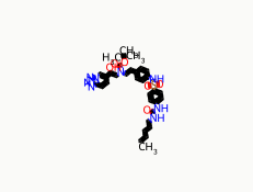 CCCCCCNC(=O)Nc1ccc(S(=O)(=O)Nc2ccc(CCN(C[C@H](O)c3ccc4nnnn4c3)C(=O)OC(C)(C)C)cc2)cc1